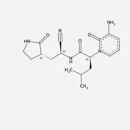 CC(C)C[C@@H](C(=O)N[C@H](C#N)C[C@@H]1CCNC1=O)n1cccc(N)c1=O